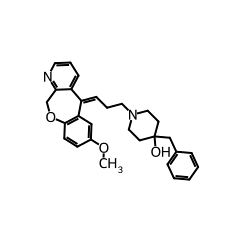 COc1ccc2c(c1)C(=CCCN1CCC(O)(Cc3ccccc3)CC1)c1cccnc1CO2